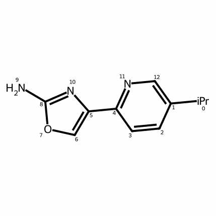 CC(C)c1ccc(-c2coc(N)n2)nc1